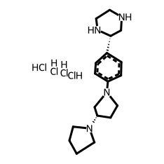 Cl.Cl.Cl.Cl.c1cc(N2CC[C@H](N3CCCC3)C2)ccc1[C@H]1CNCCN1